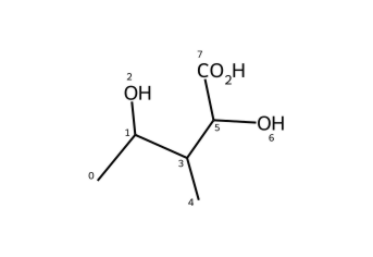 CC(O)C(C)C(O)C(=O)O